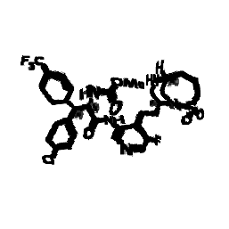 COC(=O)N[C@H](C(=O)Nc1cncc(F)c1CC[C@H]1CN[C@@H]2CCCS(=O)(=O)N1C2)[C@@H](c1ccc(Cl)cc1)C1CCC(C(F)(F)F)CC1